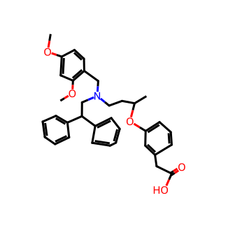 COc1ccc(CN(CCC(C)Oc2cccc(CC(=O)O)c2)CC(c2ccccc2)c2ccccc2)c(OC)c1